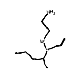 [CH2]CCC(C)N(CC)NCCN